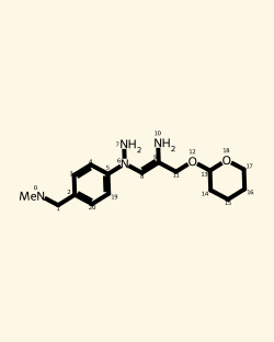 CNCc1ccc(N(N)/C=C(\N)COC2CCCCO2)cc1